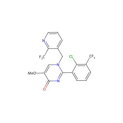 COc1cn(Cc2cccnc2C(F)(F)F)c(-c2cccc(C(F)(F)F)c2Cl)nc1=O